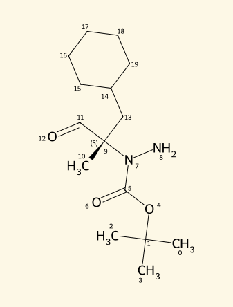 CC(C)(C)OC(=O)N(N)[C@](C)(C=O)CC1CCCCC1